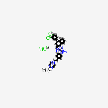 CN1CCN(CCc2ccc(Nc3ncc4c(n3)-c3ccccc3[C@H](c3ccc(Cl)c(Cl)c3)C4)cc2)CC1.Cl